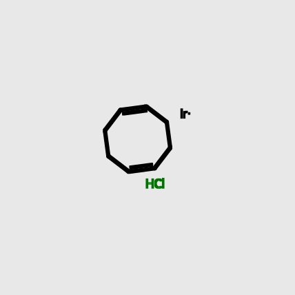 C1=CCCC=CCC1.Cl.[Ir]